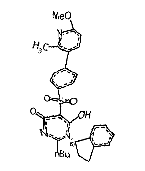 CCCCc1nc(=O)c(S(=O)(=O)c2ccc(-c3ccc(OC)nc3C)cc2)c(O)n1[C@H]1CCc2ccccc21